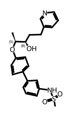 C[C@H](Oc1ccc(-c2cccc(NS(C)(=O)=O)c2)cc1)[C@H](O)CCc1cccnc1